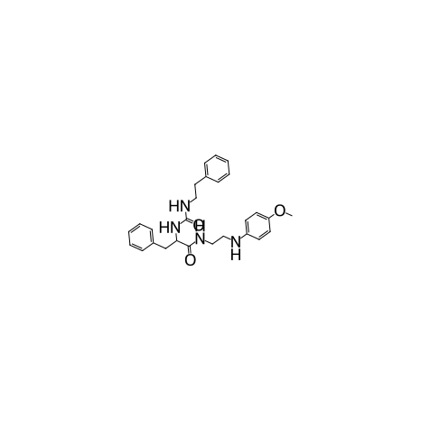 COc1ccc(NCCNC(=O)C(Cc2ccccc2)NC(=O)NCCc2ccccc2)cc1